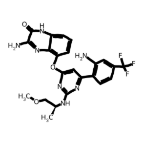 COC[C@H](C)Nc1nc(Oc2cccc3[nH]c(=O)c(N)nc23)cc(-c2ccc(C(F)(F)F)cc2N)n1